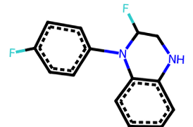 Fc1ccc(N2c3ccccc3NCC2F)cc1